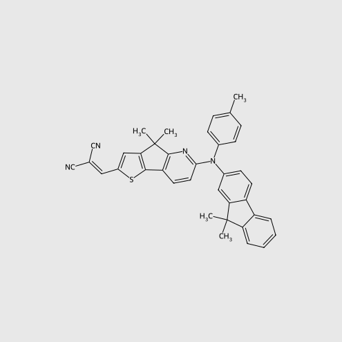 Cc1ccc(N(c2ccc3c(c2)C(C)(C)c2ccccc2-3)c2ccc3c(n2)C(C)(C)c2cc(C=C(C#N)C#N)sc2-3)cc1